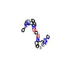 CN1CC[N+](Cc2ccccc2)=C1/C=C/c1cn(COc2ccc(OCn3cc(/C=C/C4=[N+](Cc5ccccc5)CCN4C)c4c5ccccc5ccc43)cc2)c2ccc3ccccc3c12